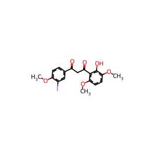 COc1ccc(C(=O)CC(=O)c2c(OC)ccc(OC)c2O)cc1I